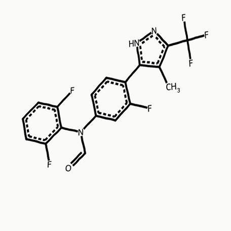 Cc1c(C(F)(F)F)n[nH]c1-c1ccc(N(C=O)c2c(F)cccc2F)cc1F